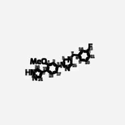 COc1cc(N2CN(Cc3cccc(F)c3)C=N2)ccc1-c1cn[nH]c1